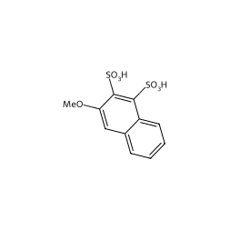 COc1cc2ccccc2c(S(=O)(=O)O)c1S(=O)(=O)O